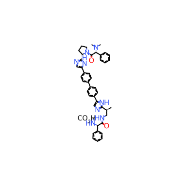 C[C@@H](CNC(=O)[C@H](NC(=O)O)c1ccccc1)c1ncc(-c2ccc(-c3ccc(-c4cnc([C@@H]5CCCN5C(=O)[C@@H](c5ccccc5)N(C)C)[nH]4)cc3)cc2)[nH]1